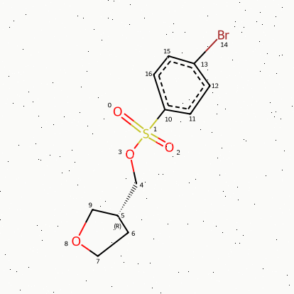 O=S(=O)(OC[C@@H]1CCOC1)c1ccc(Br)cc1